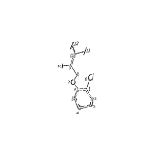 Clc1ccccc1OCC(I)=C(I)I